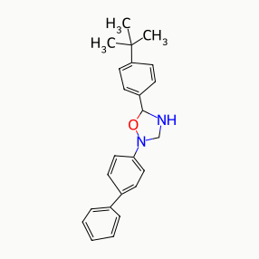 CC(C)(C)c1ccc(C2NCN(c3ccc(-c4ccccc4)cc3)O2)cc1